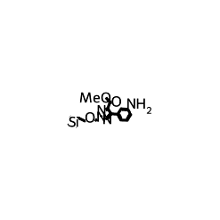 COC(=O)c1nn(COCC[Si](C)(C)C)nc1-c1cccc(N)c1